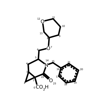 O=C(O)C12CC1CC(COC1CCCOC1)N(Cc1ccccc1)C2=O